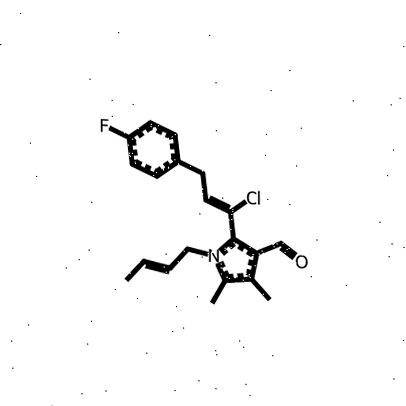 CC=CCn1c(C)c(C)c(C=O)c1C(Cl)=CCc1ccc(F)cc1